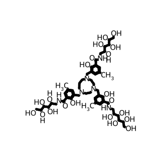 Cc1cc(CN2CCCN(Cc3cc(C)cc(C(=O)NCC(O)C(O)C(O)C(O)CO)c3O)CCN(Cc3cc(C)cc(C(=O)NCC(O)C(O)C(O)C(O)CO)c3O)CC2)c(O)c(C(=O)NCC(O)C(O)C(O)C(O)CO)c1